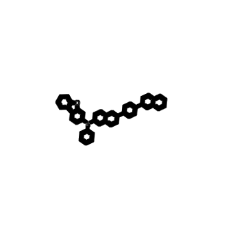 c1ccc(N(c2ccc3cc(-c4ccc(-c5ccc6ccccc6c5)cc4)ccc3c2)c2ccc3c(c2)oc2ccccc23)cc1